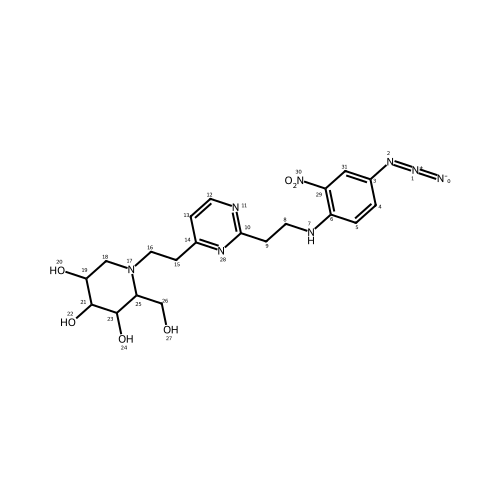 [N-]=[N+]=Nc1ccc(NCCc2nccc(CCN3CC(O)C(O)C(O)C3CO)n2)c([N+](=O)[O-])c1